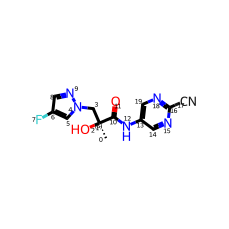 C[C@](O)(Cn1cc(F)cn1)C(=O)Nc1cnc(C#N)nc1